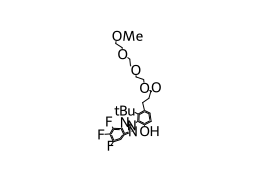 COCCOCCOCCOC(=O)CCc1ccc(O)c(-n2nc3cc(F)c(F)c(F)c3n2)c1C(C)(C)C